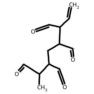 C=CC([C]=O)C([C]=O)CC([C]=O)C(C)[C]=O